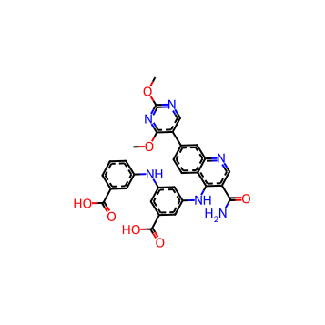 COc1ncc(-c2ccc3c(Nc4cc(Nc5cccc(C(=O)O)c5)cc(C(=O)O)c4)c(C(N)=O)cnc3c2)c(OC)n1